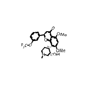 COc1cc(OC)c2c(=O)cc(-c3cccc(OC(F)(F)F)c3)oc2c1[C@H]1CCN(C)C[C@H]1O